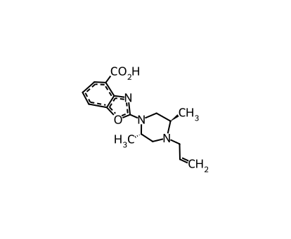 C=CCN1C[C@H](C)N(c2nc3c(C(=O)O)cccc3o2)C[C@H]1C